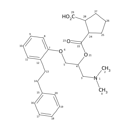 CN(C)CC(COc1ccccc1CCc1ccccc1)OC(=O)C1CCCC1C(=O)O